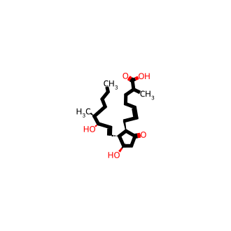 CCCC[C@@H](C)[C@@H](O)/C=C/[C@H]1[C@H](O)CC(=O)[C@@H]1C/C=C\CCC(C)C(=O)O